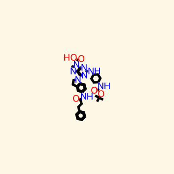 CC(C)(C)OC(=O)NC1CCC(Nc2nc(N3CCc4cc(NC(=O)CCc5ccccc5)ccc43)c3ncn(C(=O)O)c3n2)CC1